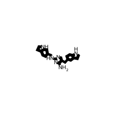 Nc1nc(NCc2ccc3cc[nH]c3c2)ncc1Cc1ccc2[nH]ccc2c1